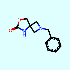 O=C1NC2(CO1)CN(Cc1ccccc1)C2